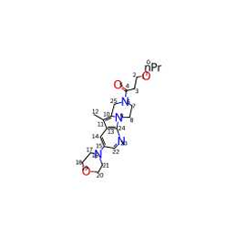 CCCOCCC(=O)N1CCn2c(c(C)c3cc(N4CCOCC4)cnc32)C1